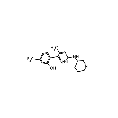 CC1=CC(NC2CCCNC2)NN=C1c1ccc(C(F)(F)F)cc1O